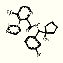 O=C(N[C@@H](c1cccc(Br)c1)C1(O)CCCC1)c1nccc(C(F)(F)F)c1-n1ccnn1